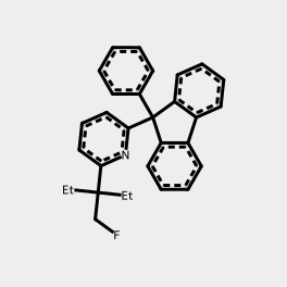 CCC(CC)(CF)c1cccc(C2(c3ccccc3)c3ccccc3-c3ccccc32)n1